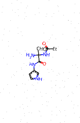 CCC(=O)NC(N)(C=O)C(=O)Nc1cc[nH]c1